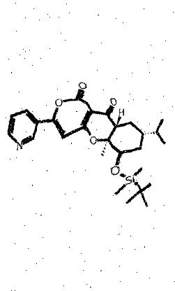 CC(C)[C@@H]1CC(O[Si](C)(C)C(C)(C)C)[C@@]2(C)Oc3cc(-c4cccnc4)oc(=O)c3C(=O)[C@@H]2C1